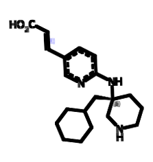 O=C(O)/C=C/c1ccc(N[C@]2(CC3CCCCC3)CCCNC2)nc1